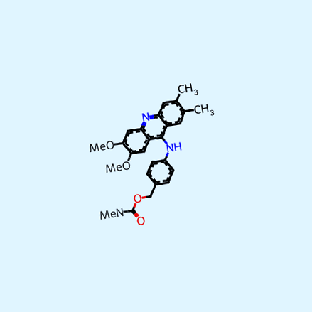 CNC(=O)OCc1ccc(Nc2c3cc(C)c(C)cc3nc3cc(OC)c(OC)cc23)cc1